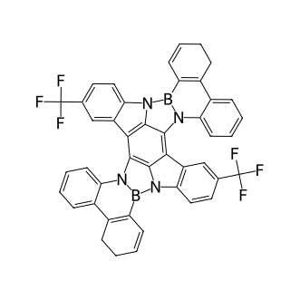 FC(F)(F)c1ccc2c(c1)c1c3c4c(c5c1n2B1C2=C(CCC=C2)c2ccccc2N15)c1cc(C(F)(F)F)ccc1n4B1C2=C(CCC=C2)c2ccccc2N13